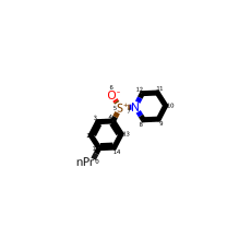 CCCc1ccc([S+]([O-])N2CCCCC2)cc1